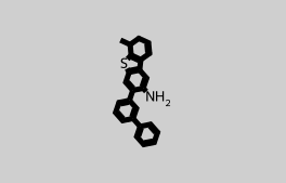 CC1CC=Cc2c1sc1cc(-c3cccc(-c4ccccc4)c3)c(N)cc21